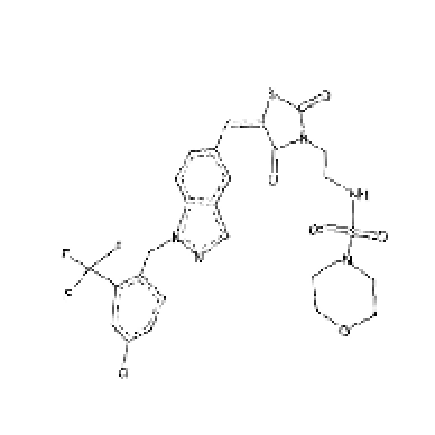 O=C1SC(=Cc2ccc3c(cnn3Cc3ccc(Cl)cc3C(F)(F)F)c2)C(=O)N1CCNS(=O)(=O)N1CCOCC1